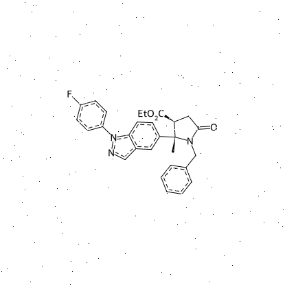 CCOC(=O)[C@H]1CC(=O)N(Cc2ccccc2)[C@]1(C)c1ccc2c(cnn2-c2ccc(F)cc2)c1